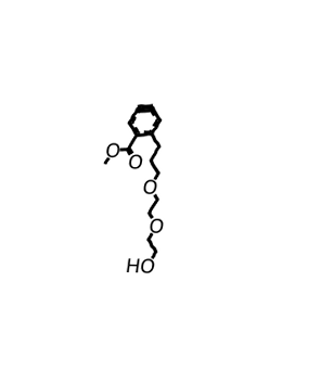 COC(=O)c1cc#ccc1CCCOCCOCCO